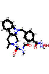 CC1Cc2c(n(Cc3ccc(C(=O)NO)cc3)c3ccccc23)CN1C(=O)N(C)C=O